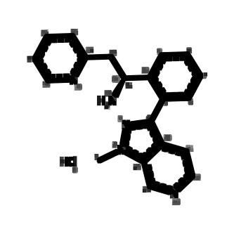 Cl.Cn1nc(-c2ccccc2[C@@H](N)Cc2ccccn2)c2ccncc21